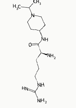 CC(C)N1CCC(NC(=O)[C@@H](N)CCCNC(=N)N)CC1